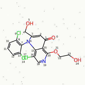 O=c1cc(CO)n(-c2c(Cl)cccc2Cl)c2c(Cl)cnc(OCCO)c12